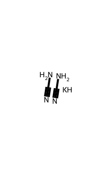 N#CN.N#CN.[KH]